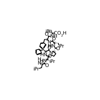 CC[C@H](C)[C@H](NC(=O)[C@H](Cc1ccccc1)NC(=O)[C@H](CC(C)C)NC(=O)[C@@H]1CCCN1C(=O)[C@H](Cc1ccccc1)NC(=O)[C@@H](NC(=O)[C@@H](N)CC(C)C)C(C)C)C(=O)O